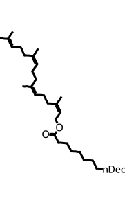 CCCCCCCCCCCCCCCCCC(=O)OCC=C(C)CCC=C(C)CCC=C(C)CCC=C(C)C